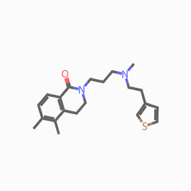 Cc1ccc2c(c1C)CCN(CCCN(C)CCc1ccsc1)C2=O